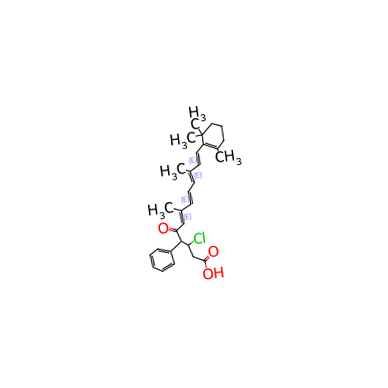 CC1=C(/C=C/C(C)=C/C=C/C(C)=C/C(=O)C(c2ccccc2)C(Cl)CC(=O)O)C(C)(C)CCC1